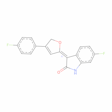 O=C1Nc2cc(F)ccc2/C1=C1/C=C(c2ccc(F)cc2)CO1